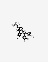 CN(C)CCNC(=O)Cc1ccc(Cl)cc1-n1c(C2CCCCC2)nc(-c2nnc(N)o2)c1-c1ccc(F)c(Cl)c1